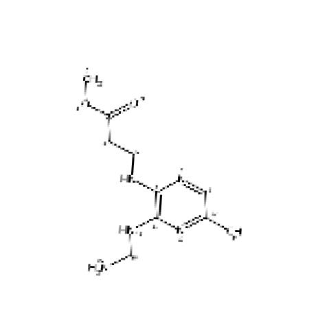 COC(=O)CCNc1ncc(C)nc1NCN